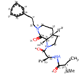 CN[C@@H](C)C(=O)N[C@H](C(=O)N1CC[C@H]2CCN(CCc3ccccc3)C(=O)[C@H]21)C(C)C